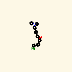 Brc1cccc(-c2cccc(-c3ccc4oc5cc(-c6ccc(-c7ccc8c(c7)c7ccccc7n8-c7ccccc7)cc6)ccc5c4c3)c2)c1